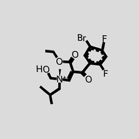 CCOC(=O)C(=C[N@@+](C)(CO)CC(C)C)C(=O)c1cc(Br)c(F)cc1F